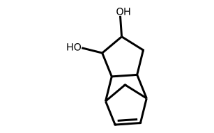 OC1CC2C3C=CC(C3)C2C1O